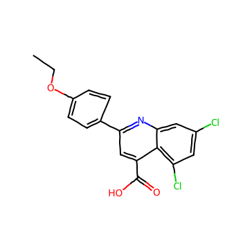 CCOc1ccc(-c2cc(C(=O)O)c3c(Cl)cc(Cl)cc3n2)cc1